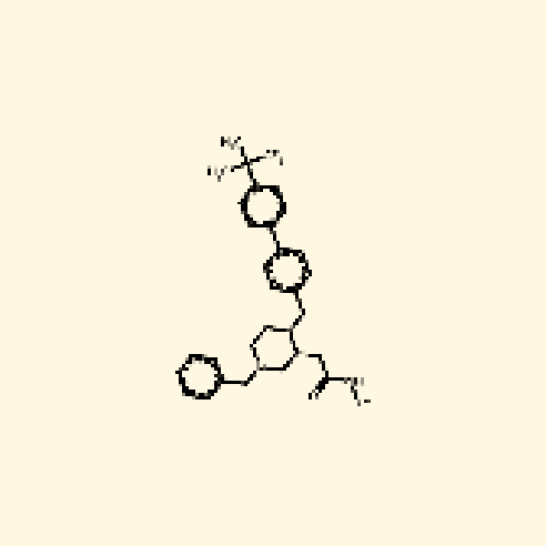 CC(C)NC(=O)C[C@H]1CN(Cc2ccncc2)CCN1Cc1ccc(-c2ccc(C(C)(C)C(F)(F)F)cc2)cc1